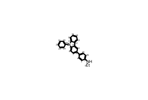 CCNc1ccc(-c2ccc3c(c2)c2ccccc2n3-c2ccccc2)cc1